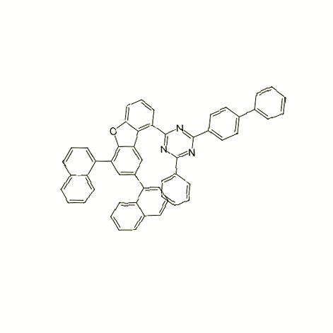 c1ccc(-c2ccc(-c3nc(-c4ccccc4)nc(-c4cccc5oc6c(-c7cccc8ccccc78)cc(-c7cccc8ccccc78)cc6c45)n3)cc2)cc1